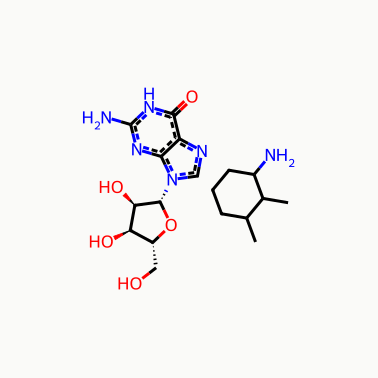 CC1CCCC(N)C1C.Nc1nc2c(ncn2[C@@H]2O[C@H](CO)[C@@H](O)[C@H]2O)c(=O)[nH]1